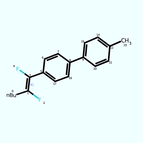 CCCC/C(F)=C(\F)c1ccc(-c2ccc(C)cc2)cc1